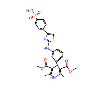 COC(=O)C1=C(C)NC(C)=C(C(=O)OC)C1c1cccc(Nc2nc(-c3ccc(S(N)(=O)=O)cc3)cs2)c1